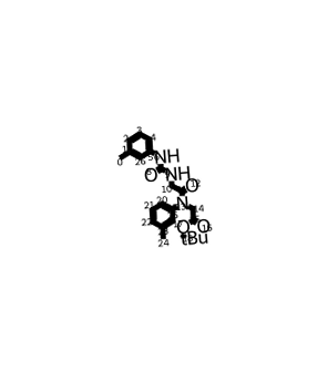 Cc1cccc(NC(=O)NCC(=O)N(CC(=O)OC(C)(C)C)c2cccc(C)c2)c1